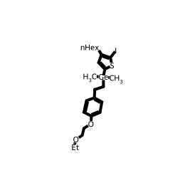 CCCCCCc1c[c]([Ge]([CH3])([CH3])[CH2]Cc2ccc(OCCOCC)cc2)sc1I